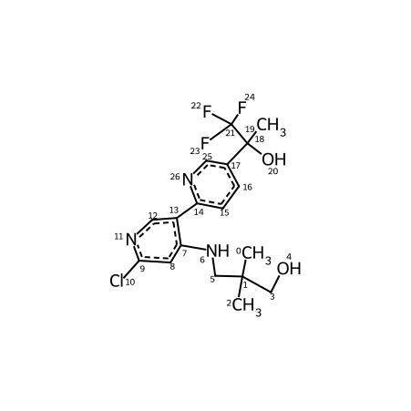 CC(C)(CO)CNc1cc(Cl)ncc1-c1ccc(C(C)(O)C(F)(F)F)cn1